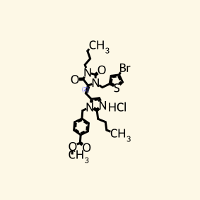 CCCCc1ncc(/C=C2/C(=O)N(CCCC)C(=O)N2Cc2cc(Br)cs2)n1Cc1ccc(C(=O)OC)cc1.Cl